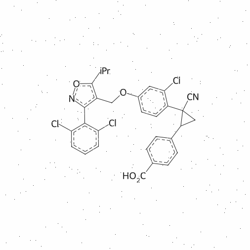 CC(C)c1onc(-c2c(Cl)cccc2Cl)c1COc1ccc(C2(C#N)CC2c2ccc(C(=O)O)cc2)c(Cl)c1